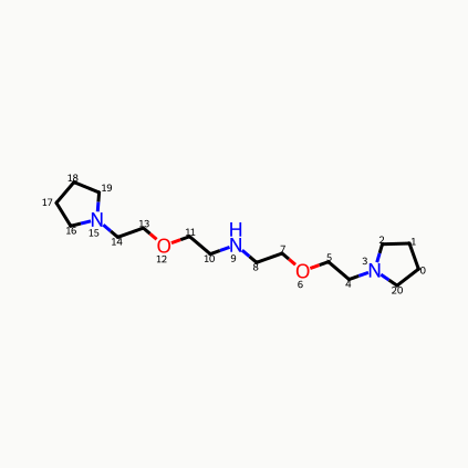 C1CCN(CCOCCNCCOCCN2CCCC2)C1